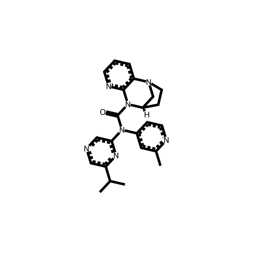 Cc1cc(N(C(=O)N2c3ncccc3N3CC[C@H]2C3)c2cncc(C(C)C)n2)ccn1